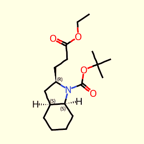 CCOC(=O)CC[C@@H]1C[C@@H]2CCCC[C@@H]2N1C(=O)OC(C)(C)C